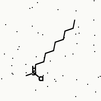 CCCCCCCCC[SiH](C)Cl